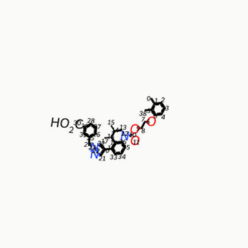 Cc1cccc(OCCOC(=O)N2C[C@H](C)[C@H](C)c3c(-c4cnn(Cc5cccc(C(=O)O)c5)c4)cccc32)c1C